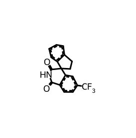 O=C1NC(=O)C2(CCc3ccccc32)c2cc(C(F)(F)F)ccc21